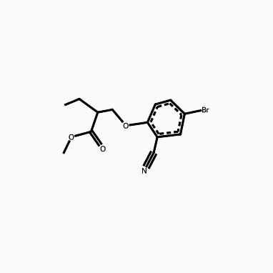 CCC(COc1ccc(Br)cc1C#N)C(=O)OC